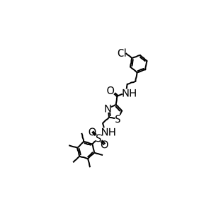 Cc1c(C)c(C)c(S(=O)(=O)NCc2nc(C(=O)NCCc3cccc(Cl)c3)cs2)c(C)c1C